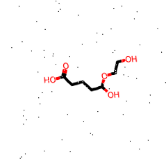 O=C(O)CCCC(O)OCCO